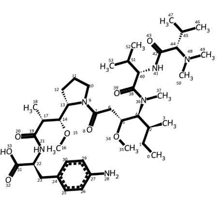 CC[C@H](C)[C@@H]([C@@H](CC(=O)N1CCC[C@H]1[C@H](OC)[C@@H](C)C(=O)N[C@@H](Cc1ccc(N)cc1)C(=O)O)OC)N(C)C(=O)[C@@H](NC(=O)[C@H](C(C)C)N(C)C)C(C)C